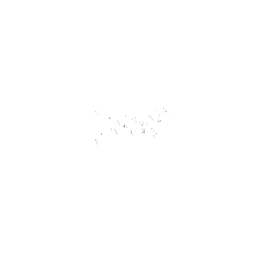 CC(C)(C)C(=O)OCOC(=O)C1=C(SCC#N)CS[C@H]2[C@H](NC(=O)/C(=N\O)c3csc(N)n3)C(=O)N12